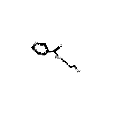 CC(=O)CCCNC(=O)c1cccnc1